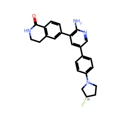 Nc1ncc(-c2ccc(N3CC[C@H](F)C3)cc2)cc1-c1ccc2c(c1)CCNC2=O